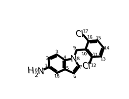 Nc1ccc2c(ccn2Cc2c(Cl)cccc2Cl)c1